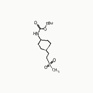 CC(C)(C)OC(=O)NC1CCC(CCS(C)(=O)=O)CC1